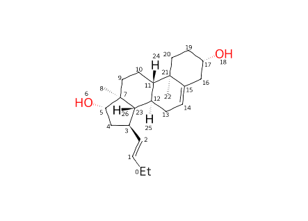 CC/C=C/[C@H]1C[C@H](O)[C@@]2(C)CC[C@H]3[C@@H](CC=C4C[C@@H](O)CC[C@@]43C)[C@H]12